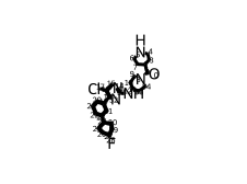 O=C(C1CCNCC1)N1CCC(Nc2ncc(Cl)c(-c3cccc(-c4ccc(F)cc4)c3)n2)CC1